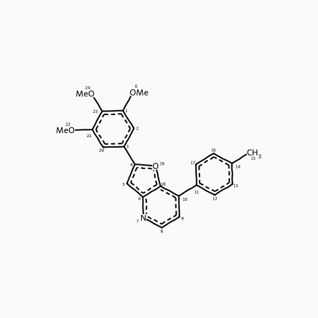 COc1cc(-c2cc3nccc(-c4ccc(C)cc4)c3o2)cc(OC)c1OC